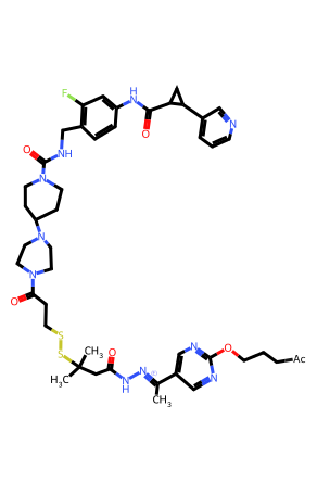 CC(=O)CCCOc1ncc(/C(C)=N/NC(=O)CC(C)(C)SSCCC(=O)N2CCN(C3CCN(C(=O)NCc4ccc(NC(=O)C5CC5c5cccnc5)cc4F)CC3)CC2)cn1